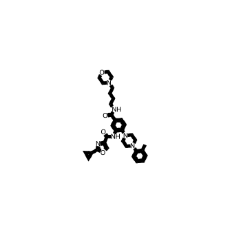 Cc1ccccc1N1CCN(c2ccc(C(=O)NCCCCN3CCOCC3)cc2NC(=O)c2coc(C3CC3)n2)CC1